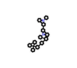 c1ccc(-n2c3ccccc3c3cc(-c4ccc5c(c4)c4ccccc4n5-c4ccccc4-c4ccccc4-c4ccc(-c5cccc(C6(c7ccccc7)c7ccccc7-c7ccccc76)c5)cc4)ccc32)cc1